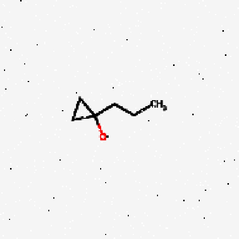 CCCC1([O])CC1